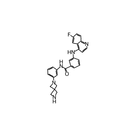 O=C(Nc1cccc(N2CC3(CNC3)C2)c1)c1cccc(Nc2ccnc3ccc(F)cc23)c1